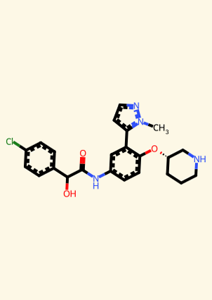 Cn1nccc1-c1cc(NC(=O)C(O)c2ccc(Cl)cc2)ccc1O[C@H]1CCCNC1